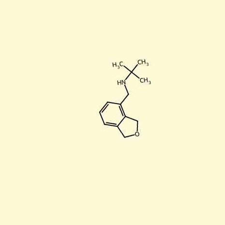 CC(C)(C)NCc1cccc2c1COC2